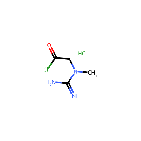 CN(CC(=O)Cl)C(=N)N.Cl